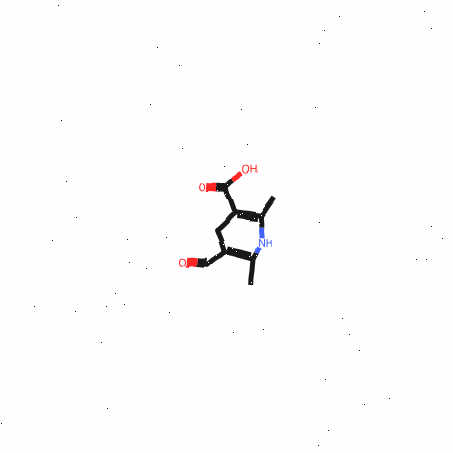 CC1=C(C=O)CC(C(=O)O)=C(C)N1